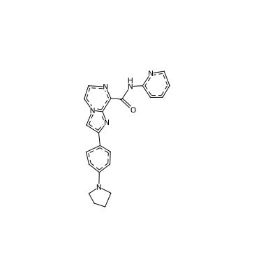 O=C(Nc1ccccn1)c1nccn2cc(-c3ccc(N4CCCC4)cc3)nc12